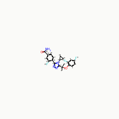 CC(C)(Oc1ccc(F)cc1F)c1nnc(-c2ccc(C(N)=O)cc2F)n1C1CC1